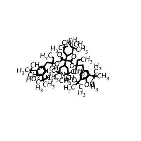 CCC(C)(Cc1cc(C(C)(C)C)c(O)c(C(C)(C)C)c1)OC(=O)C(C(=O)OC(C)(CC)Cc1cc(C(C)(C)C)c(O)c(C(C)(C)C)c1)(C1CC(C)(C)N(C)C(C)(C)C1)C1CC(C)(C)N(C)C(C)(C)C1